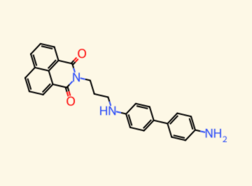 Nc1ccc(-c2ccc(NCCCN3C(=O)c4cccc5cccc(c45)C3=O)cc2)cc1